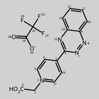 O=C(O)C[n+]1ccc(-c2nnc3ccccc3n2)cc1.O=C([O-])C(F)(F)F